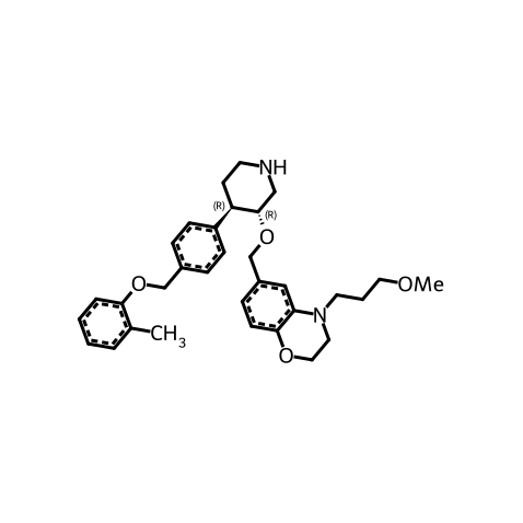 COCCCN1CCOc2ccc(CO[C@H]3CNCC[C@@H]3c3ccc(COc4ccccc4C)cc3)cc21